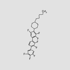 CCCCCC1CCC(c2c(F)cc(-c3ccc(-c4cc(F)c(F)c(F)c4)c(F)c3F)c(F)c2F)CC1